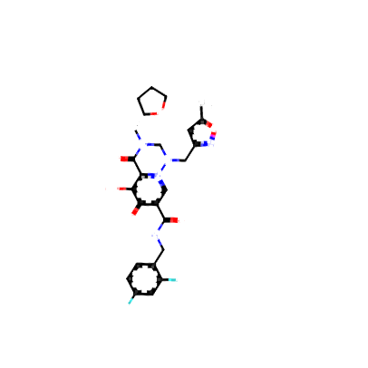 Cc1cc(CN2CN(C[C@@H]3CCCO3)C(=O)c3c(O)c(=O)c(C(=O)NCc4ccc(F)cc4F)cn32)no1